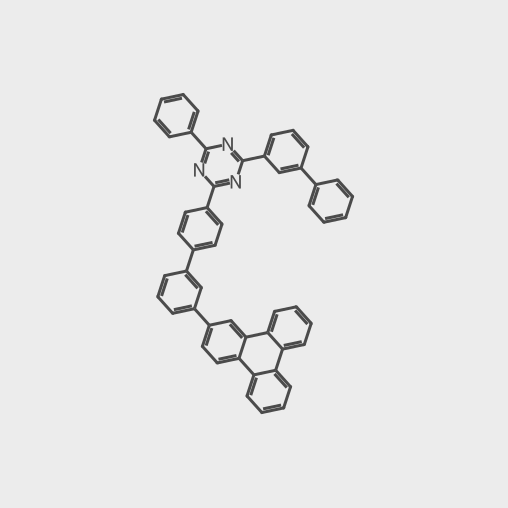 c1ccc(-c2cccc(-c3nc(-c4ccccc4)nc(-c4ccc(-c5cccc(-c6ccc7c8ccccc8c8ccccc8c7c6)c5)cc4)n3)c2)cc1